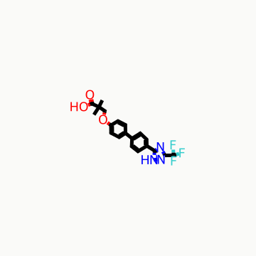 CC(C)(COc1ccc(-c2ccc(-c3nc(C(F)(F)F)n[nH]3)cc2)cc1)C(=O)O